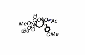 COCN(C(=O)OC(C)(C)C)[C@H]1CCC[C@H](Cc2ccc(OC)cc2)[C@@H](O/C=C/C(C)=O)[C@H](C)OC1O